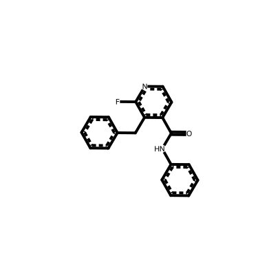 O=C(Nc1ccccc1)c1ccnc(F)c1Cc1ccccc1